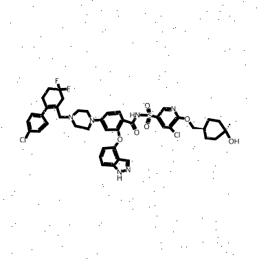 C[C@]1(O)CC[C@@H](COc2ncc(S(=O)(=O)NC(=O)c3ccc(N4CCN(CC5=C(c6ccc(Cl)cc6)CCC(F)(F)C5)CC4)cc3Oc3cccc4[nH]ncc34)cc2Cl)CC1